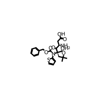 CC(C)(C)C[C@](C(=O)O)(C(=O)[C@@H](N)CC(=O)O)N(C(=O)OCc1ccccc1)c1cccs1